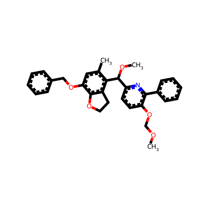 COCOc1ccc(C(OC)c2c(C)cc(OCc3ccccc3)c3c2CCO3)nc1-c1ccccc1